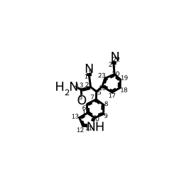 N#CC1=C(N)Oc2c(ccc3[nH]ccc23)C1c1cccc(C#N)c1